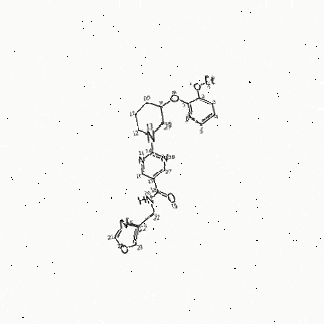 CCOc1ccccc1OC1CCCN(c2ncc(C(=O)NCc3cocn3)cn2)C1